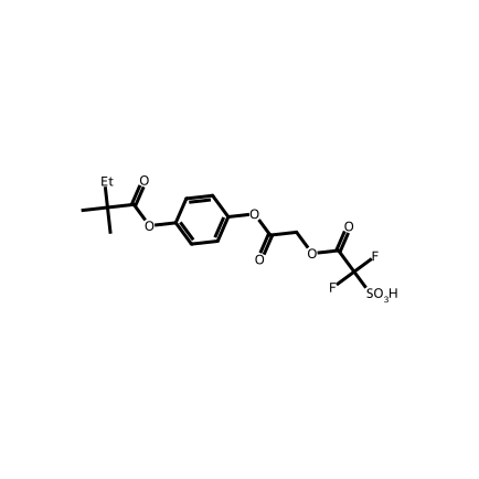 CCC(C)(C)C(=O)Oc1ccc(OC(=O)COC(=O)C(F)(F)S(=O)(=O)O)cc1